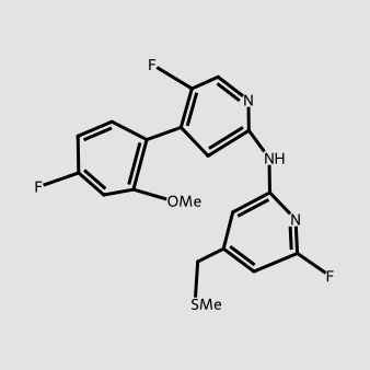 COc1cc(F)ccc1-c1cc(Nc2cc(CSC)cc(F)n2)ncc1F